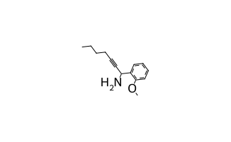 CCCCC#CC(N)c1ccccc1OC